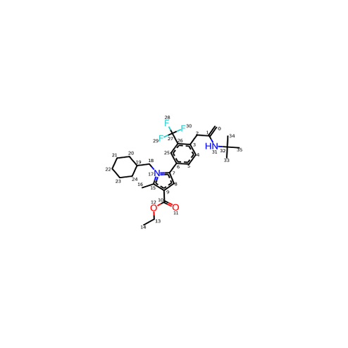 C=C(Cc1ccc(-c2cc(C(=O)OCC)c(C)n2CC2CCCCC2)cc1C(F)(F)F)NC(C)(C)C